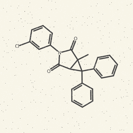 CC12C(=O)N(c3cccc(Cl)c3)C(=O)C1C2(c1ccccc1)c1ccccc1